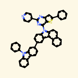 c1ccc(-c2cc3nc(-c4ccncc4)nc(-n4c5ccc(-c6ccc7c8ccccc8n(-c8ccccc8)c7c6)cc5c5c6ccccc6ccc54)c3s2)cc1